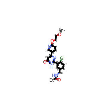 CCCOCCOc1ccc(-c2cc(=O)[nH]c(-c3cc(CNC(=O)CC)ccc3Cl)n2)cn1